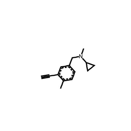 C#Cc1cc(CN(C)C2CC2)ccc1C